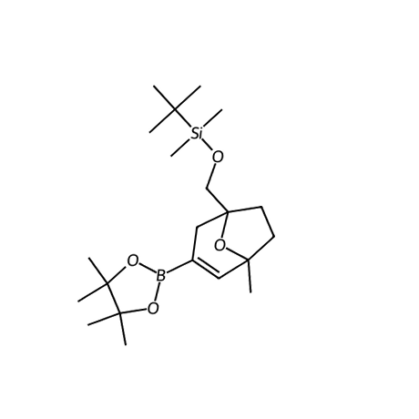 CC12C=C(B3OC(C)(C)C(C)(C)O3)CC(CO[Si](C)(C)C(C)(C)C)(CC1)O2